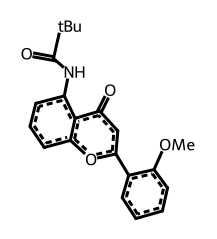 COc1ccccc1-c1cc(=O)c2c(NC(=O)C(C)(C)C)cccc2o1